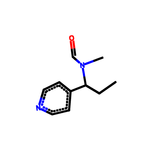 CCC(c1ccncc1)N(C)C=O